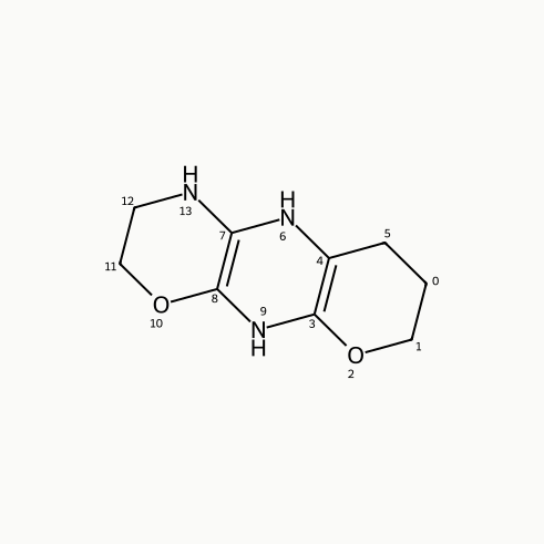 C1COC2=C(C1)NC1=C(N2)OCCN1